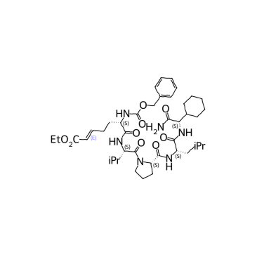 CCOC(=O)/C=C/CC[C@H](NC(=O)OCc1ccccc1)C(=O)N[C@H](C(=O)N1CCC[C@H]1C(=O)N[C@@H](CC(C)C)C(=O)N[C@H](C(N)=O)C1CCCCC1)C(C)C